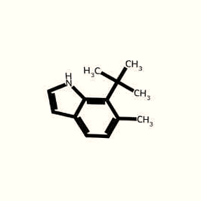 Cc1ccc2cc[nH]c2c1C(C)(C)C